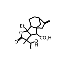 C=C1CC23CC1CCC2C1(CC)OC(=O)C(C)(C(C)O)C1C3C(=O)O